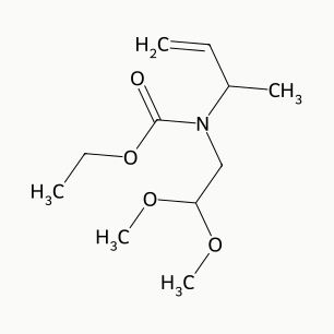 C=CC(C)N(CC(OC)OC)C(=O)OCC